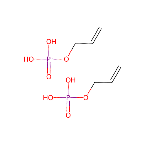 C=CCOP(=O)(O)O.C=CCOP(=O)(O)O